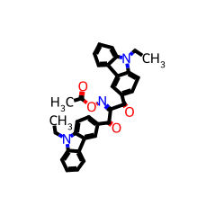 CCn1c2ccccc2c2cc(C(=O)C(=NOC(C)=O)C(=O)c3ccc4c(c3)c3ccccc3n4CC)ccc21